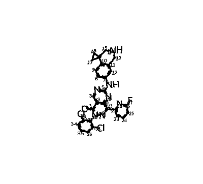 O=c1c2cnc(Nc3ccc4c(c3)CNCC43CC3)nc2c(-c2cccc(F)n2)nn1-c1c(Cl)cccc1Cl